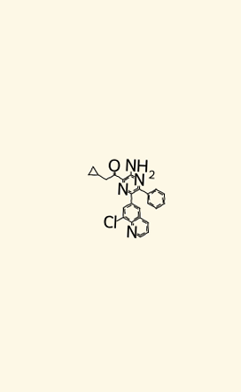 Nc1nc(-c2ccccc2)c(-c2cc(Cl)c3ncccc3c2)nc1C(=O)CC1CC1